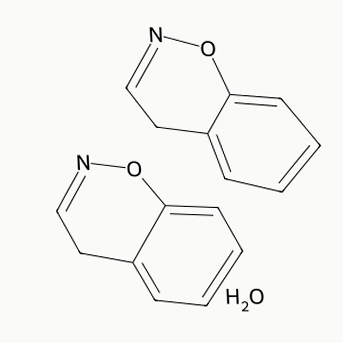 C1=NOc2ccccc2C1.C1=NOc2ccccc2C1.O